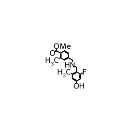 COC(=O)c1ccc(CNCc2c(C)cc(O)cc2F)cc1C